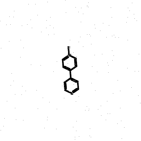 [S-][n+]1ccc(-c2ccncc2)cc1